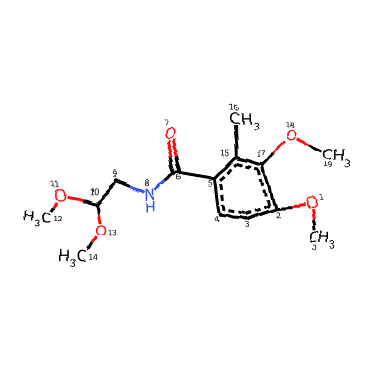 COc1ccc(C(=O)NCC(OC)OC)c(C)c1OC